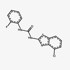 O=C(Nc1nc2c(Cl)cccc2s1)Nc1ccccc1F